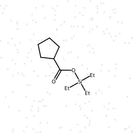 CC[Si](CC)(CC)OC(=O)C1CCCC1